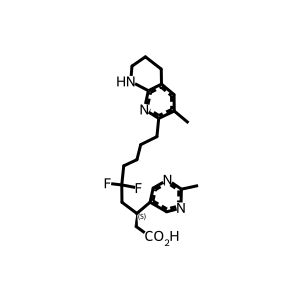 Cc1ncc([C@@H](CC(=O)O)CC(F)(F)CCCCc2nc3c(cc2C)CCCN3)cn1